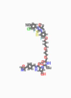 CC(C)(C)[C@H](NC(=O)COCCCOCCCCOc1ccc(N2C(S)N(c3ccc(C#N)c(Cl)c3F)C(=O)C2(C)C)cc1F)C(=O)N1C[C@H](O)C[C@H]1C(=O)NCc1ccc(-c2cnco2)cc1